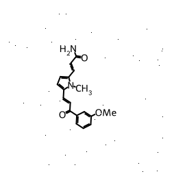 COc1cccc(C(=O)/C=C/c2ccc(/C=C/C(N)=O)n2C)c1